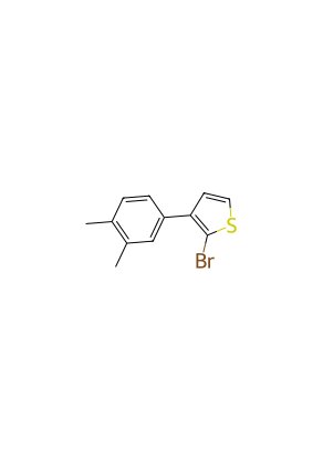 Cc1ccc(-c2ccsc2Br)cc1C